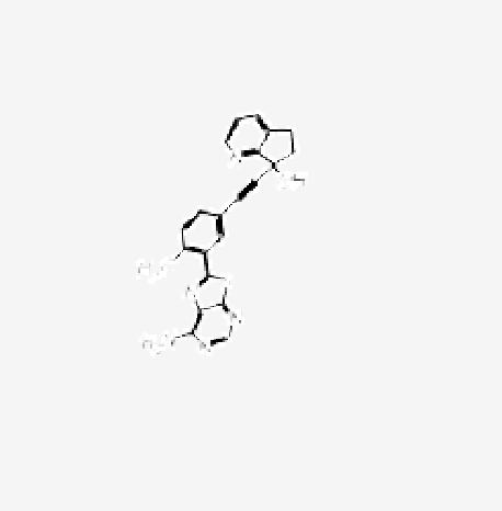 Cc1ccc(C#CC2(O)CCc3cccnc32)cc1-c1nc2c(N)ncnc2s1